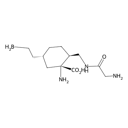 BCC[C@@H]1CC[C@@H](CNC(=O)CN)[C@@](N)(C(=O)O)C1